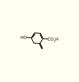 C=C1CC(O)=CC=C1C(=O)O